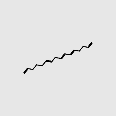 C=CCCC=CC=CCC=CCCCC=C